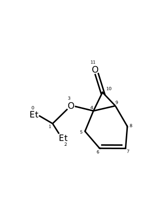 CCC(CC)OC12CC=CCC1C2=O